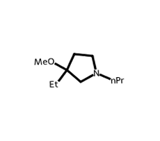 CCCN1CCC(CC)(OC)C1